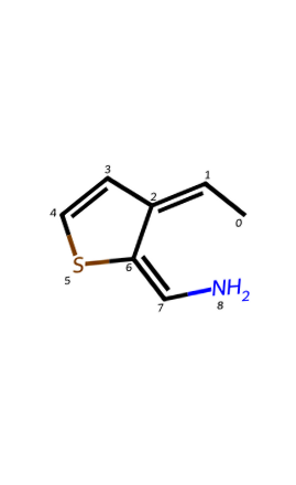 C/C=c1/ccs/c1=C/N